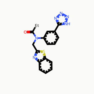 CCC(=O)N(Cc1nc2ccccc2s1)c1cccc(-c2nnn[nH]2)c1